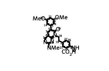 CNc1ncc2cc(-c3cc(OC)cc(OC)c3)c(=O)n(CCc3ccc(NC(=O)O)cc3)c2n1